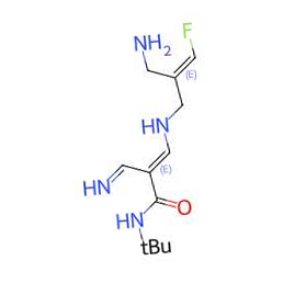 CC(C)(C)NC(=O)/C(C=N)=C/NC/C(=C/F)CN